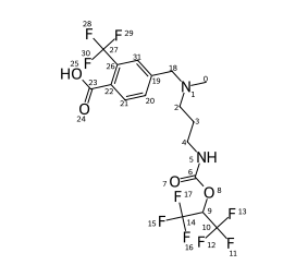 CN(CCCNC(=O)OC(C(F)(F)F)C(F)(F)F)Cc1ccc(C(=O)O)c(C(F)(F)F)c1